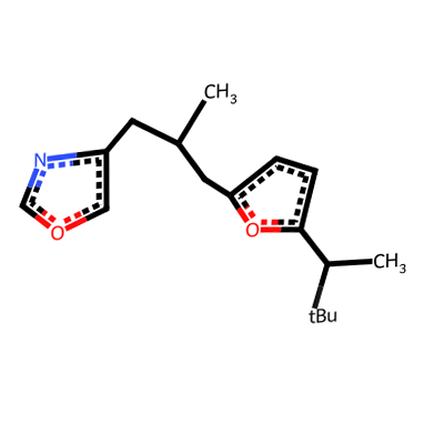 CC(Cc1cocn1)Cc1ccc(C(C)C(C)(C)C)o1